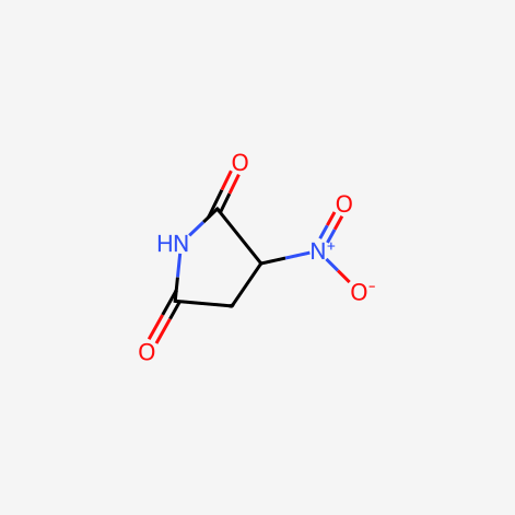 O=C1CC([N+](=O)[O-])C(=O)N1